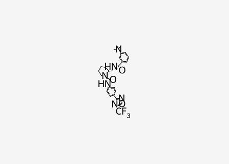 CN(C)c1cccc(C(=O)NCC2CCCCN2C(=O)Nc2ccc(-c3noc(C(F)(F)F)n3)cc2)c1